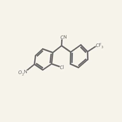 N#CC(c1cccc(C(F)(F)F)c1)c1ccc([N+](=O)[O-])cc1Cl